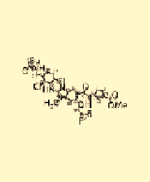 COC(=O)c1ccc(NC(=O)c2cc3nc(Nc4c(Cl)ccc(CNC(=O)C(C)(C)C)c4Cl)n(C)c3cc2OCC(F)F)s1